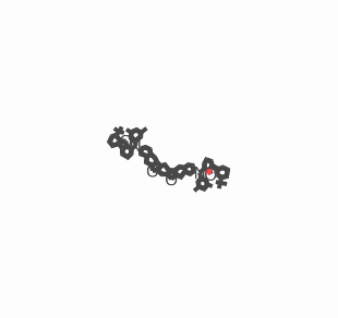 Cc1cc(C)cc(N(c2ccc3cc4c(cc3c2)oc2cc3oc5cc6cc(N(c7cc(C)cc(C)c7)c7cccc8c7oc7c(C(C)(C)C)cccc78)ccc6cc5c3cc24)c2cccc3c2oc2c(C(C)(C)C)cccc23)c1